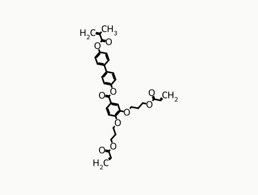 C=CC(=O)OCCCOc1ccc(C(=O)Oc2ccc(-c3ccc(OC(=O)C(=C)C)cc3)cc2)cc1OCCCOC(=O)C=C